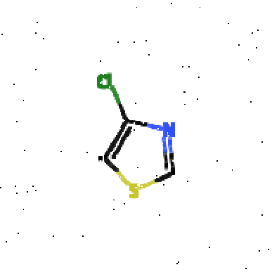 Clc1[c]scn1